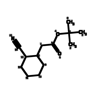 CC(C)(C)OC(=O)CC1CCCCC1C#N